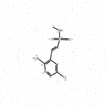 CNS(=O)(=O)/C=C/c1cc(Cl)cnc1N